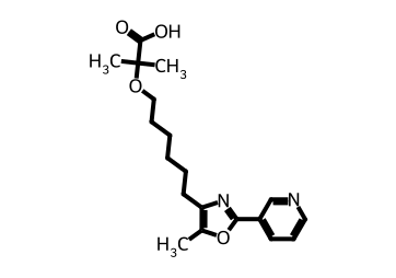 Cc1oc(-c2cccnc2)nc1CCCCCCOC(C)(C)C(=O)O